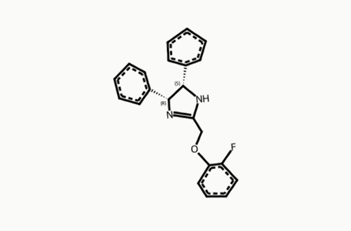 Fc1ccccc1OCC1=N[C@H](c2ccccc2)[C@H](c2ccccc2)N1